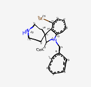 O=CC1N(Cc2ccccc2)c2cccc(Br)c2C12CCNCC2